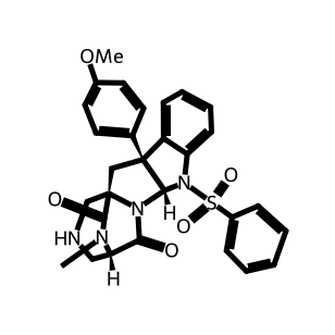 COc1ccc([C@]23C[C@@]45CNC[C@@H](C(=O)N4[C@H]2N(S(=O)(=O)c2ccccc2)c2ccccc23)N(C)C5=O)cc1